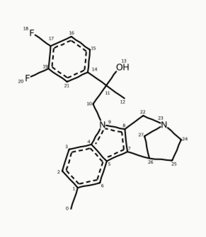 Cc1ccc2c(c1)c1c(n2CC(C)(O)c2ccc(F)c(F)c2)CN2CCC1C2